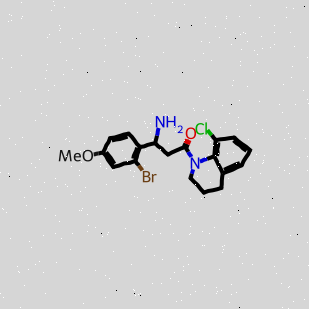 COc1ccc(C(N)CC(=O)N2CCCc3cccc(Cl)c32)c(Br)c1